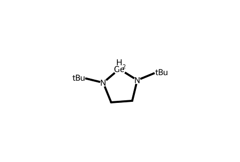 CC(C)(C)[N]1CC[N](C(C)(C)C)[GeH2]1